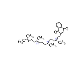 CC(C)=CCC/C(C)=C/CC/C(C)=C/CC/C(C)=C/CC1=CC(=O)c2ccccc2C1=O